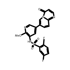 COc1ncc(-c2ccc3nccc(=O)n3c2)cc1NS(=O)(=O)c1cc(F)ccc1F